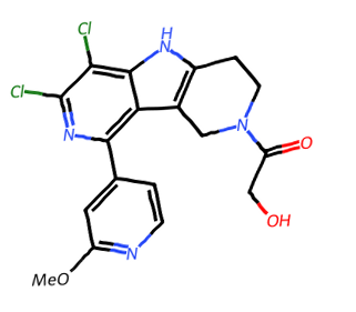 COc1cc(-c2nc(Cl)c(Cl)c3[nH]c4c(c23)CN(C(=O)CO)CC4)ccn1